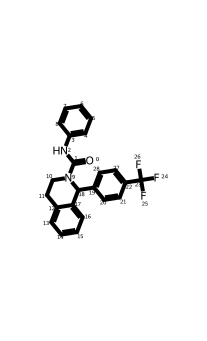 O=C(Nc1ccccc1)N1CCc2ccccc2C1c1ccc(C(F)(F)F)cc1